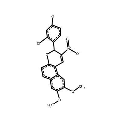 COc1cc2ccc3c(c2cc1OC)C=C([N+](=O)[O-])C(c1ccc(Cl)cc1Cl)O3